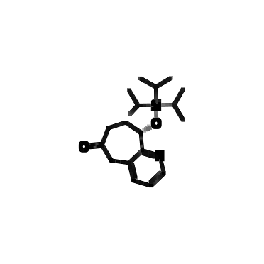 CC(C)[Si](O[C@H]1CCC(=O)Cc2cccnc21)(C(C)C)C(C)C